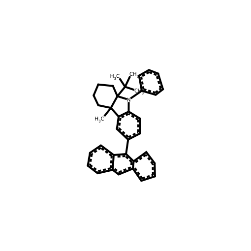 CC(C)(C)C12CCCCC1(C)c1cc(-c3c4ccccc4cc4ccccc34)ccc1N2c1ccccc1